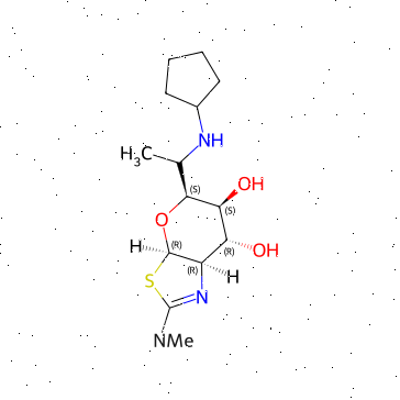 CNC1=N[C@@H]2[C@@H](O)[C@H](O)[C@H](C(C)NC3CCCC3)O[C@@H]2S1